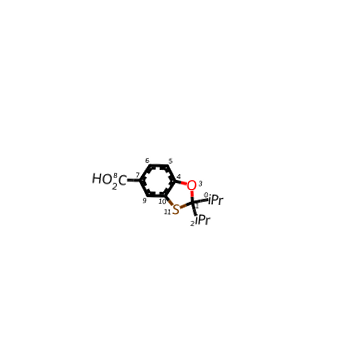 CC(C)C1(C(C)C)Oc2ccc(C(=O)O)cc2S1